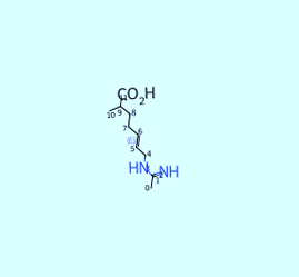 CC(=N)NC/C=C/CCC(C)C(=O)O